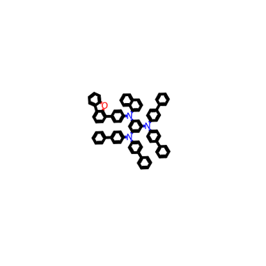 c1ccc(-c2ccc(N(c3ccc(-c4ccccc4)cc3)c3cc(N(c4ccc(-c5ccccc5)cc4)c4ccc(-c5ccccc5)cc4)cc(N(c4ccc(-c5cccc6c5oc5ccccc56)cc4)c4cccc5ccccc45)c3)cc2)cc1